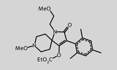 CCOC(=O)OC1=C(c2c(C)cc(C)cc2C)C(=O)N(CCOC)C12CCN(OC)CC2